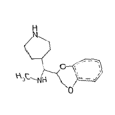 CNC(C1CCNCC1)C1COc2ccccc2O1